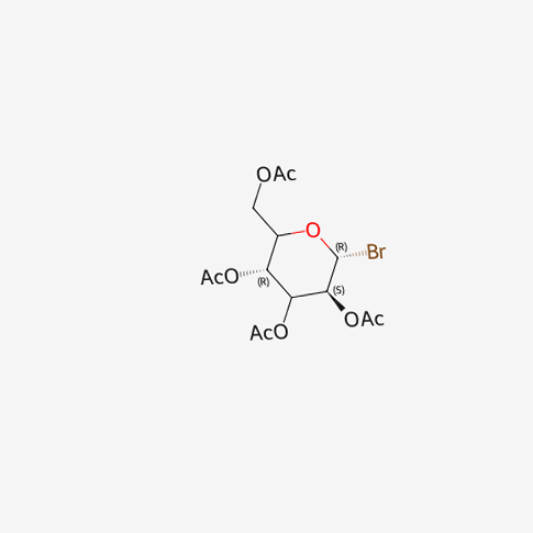 CC(=O)OCC1O[C@H](Br)[C@@H](OC(C)=O)C(OC(C)=O)[C@@H]1OC(C)=O